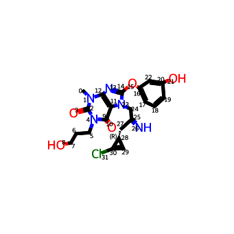 Cn1c(=O)n(CCCO)c(=O)c2c1nc(Oc1cccc(O)c1)n2CC(=N)C[C@@H]1C=C1Cl